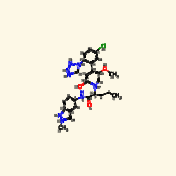 CCC[C@@H](C(=O)Nc1ccc2nn(C)cc2c1)n1cc(OC)c(-c2cc(Cl)ccc2-n2cnnn2)cc1=O